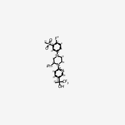 CC(C)C1CN(c2ccc(F)c(S(C)(=O)=O)c2)CCN1c1ccc(C(C)(O)C(F)(F)F)cn1